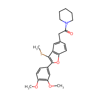 COc1ccc(-c2oc3ccc(CC(=O)N4CCCCC4)cc3c2SC)cc1OC